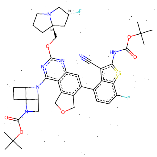 CC(C)(C)OC(=O)Nc1sc2c(F)ccc(-c3cc4nc(OC[C@@]56CCCN5C[C@H](F)C6)nc(N5C6CCC67C5CN7C(=O)OC(C)(C)C)c4c4c3COC4)c2c1C#N